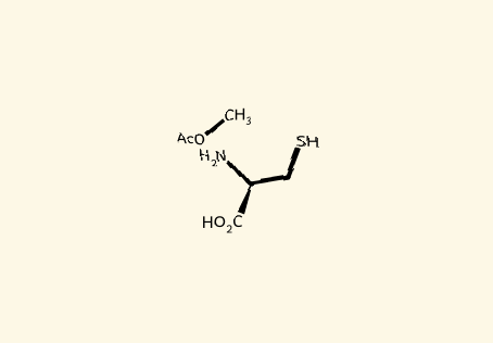 COC(C)=O.N[C@@H](CS)C(=O)O